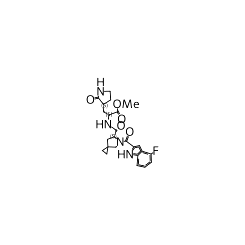 COC(=O)[C@H](C[C@@H]1CCNC1=O)NC(=O)[C@@H]1CC2(CC2)CN1C(=O)c1cc2c(F)cccc2[nH]1